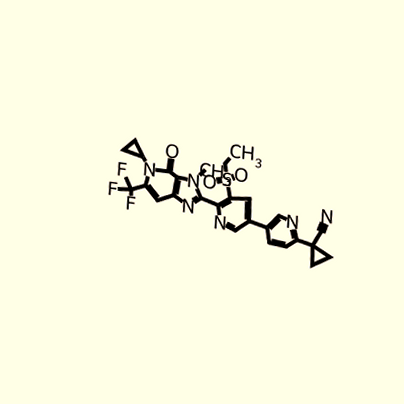 CCS(=O)(=O)c1cc(-c2ccc(C3(C#N)CC3)nc2)cnc1-c1nc2cc(C(F)(F)F)n(C3CC3)c(=O)c2n1C